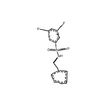 O=S(=O)(NCc1c[c]ccc1)c1cc(F)cc(F)c1